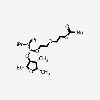 CC[C@H]1O[C@@H](C)[C@@H](C)C1OP(OCCOCCSC(=O)C(C)(C)C)N(C(C)C)C(C)C